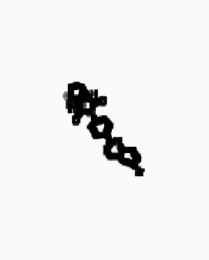 O=C1[C@@H]2[C@@H]3C=CC(C3)[C@@H]2C(=O)N1c1ccc(-c2ncc3cc(Br)ccc3n2)cc1